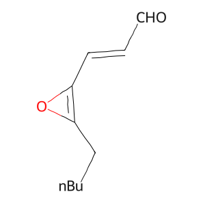 CCCCCC1=C(C=CC=O)O1